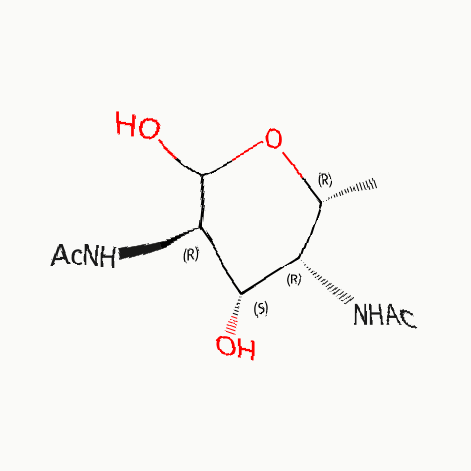 CC(=O)N[C@@H]1[C@H](O)[C@@H](NC(C)=O)C(O)O[C@@H]1C